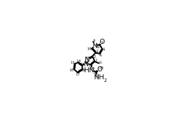 Cc1c(-c2ccc(=O)n(C)c2)nn(-c2ccccc2)c1NC(N)=O